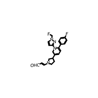 O=CC=CN1CCC(C2=CC=C(c3ccc(F)cc3)N(c3ccn(CF)n3)C2)C1